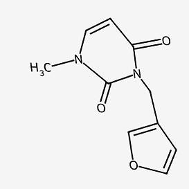 Cn1ccc(=O)n(Cc2ccoc2)c1=O